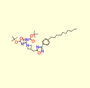 CCCCCCCCCCc1ccc(-c2noc(CC3CN(C(=NC(=O)OC(C)(C)C)NC(=O)OC(C)(C)C)C3)n2)cc1